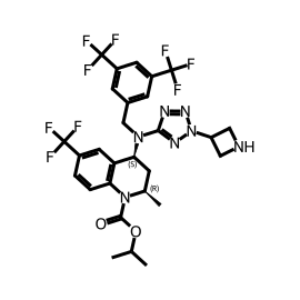 CC(C)OC(=O)N1c2ccc(C(F)(F)F)cc2[C@@H](N(Cc2cc(C(F)(F)F)cc(C(F)(F)F)c2)c2nnn(C3CNC3)n2)C[C@H]1C